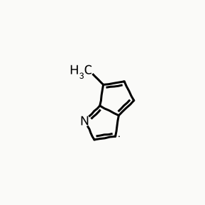 CC1=CC=C2[C]=CN=C12